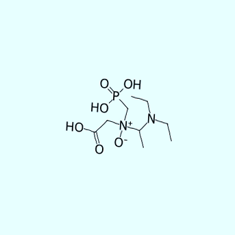 CCN(CC)C(C)[N+]([O-])(CC(=O)O)CP(=O)(O)O